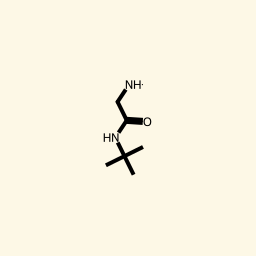 CC(C)(C)NC(=O)C[NH]